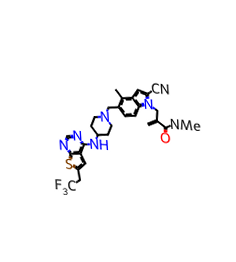 C=C(Cn1c(C#N)cc2c(C)c(CN3CCC(Nc4ncnc5sc(CC(F)(F)F)cc45)CC3)ccc21)C(=O)NC